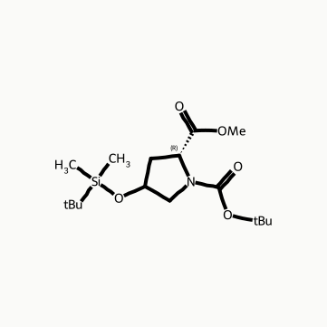 COC(=O)[C@H]1CC(O[Si](C)(C)C(C)(C)C)CN1C(=O)OC(C)(C)C